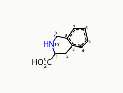 O=C(O)C1Cc2ccccc2[C]N1